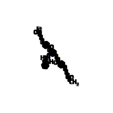 C=CC(=O)OCCCCOc1ccc(C(=O)OCCc2ccc(OC(=O)c3ccc(OCCCCOC(=O)CC)cc3)c(/C=N/Nc3cc4ccccc4[nH]3)c2)cc1